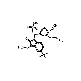 CCOc1cc([C@@H](CS(C)(=O)=O)n2c(=O)n(CC)c3cc(C(F)(F)F)ccc32)ccc1OC